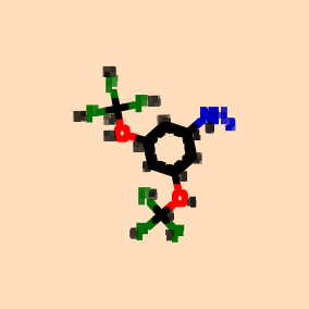 Nc1cc(OC(F)(F)F)cc(OC(F)(F)F)c1